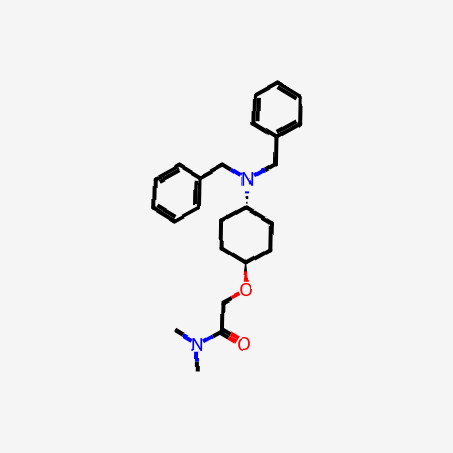 CN(C)C(=O)CO[C@H]1CC[C@H](N(Cc2ccccc2)Cc2ccccc2)CC1